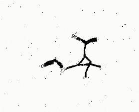 C=C(Br)C1C(OC=O)C1(C)C